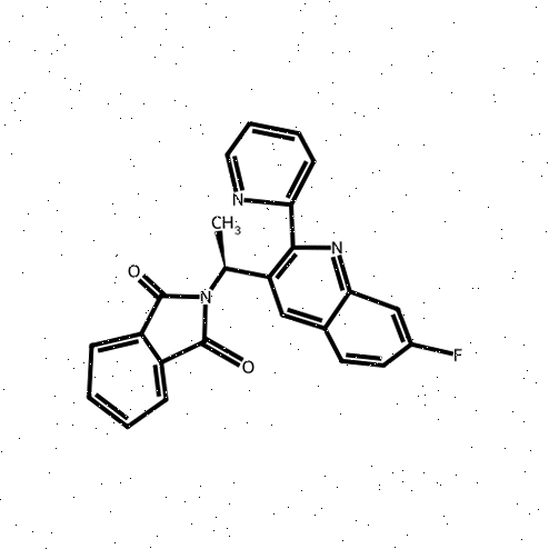 C[C@@H](c1cc2ccc(F)cc2nc1-c1ccccn1)N1C(=O)c2ccccc2C1=O